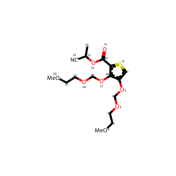 COCCOCOc1csc(C(=O)OC(C)C#N)c1OCOCCOC